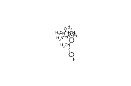 CN1C(=O)C(C)(C)[C@@](C)(c2cc(N(C)CCc3ccc(F)cc3)ccc2F)N=C1N